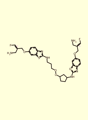 NC/C(=C\F)COc1ccc2nc(NC3CCC(OOCCCNc4nc5ccc(OC/C(=C/F)CN)cc5s4)C3)oc2c1